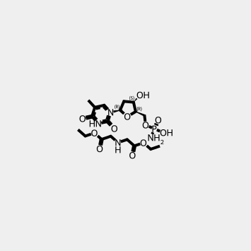 CCOC(=O)CNCC(=O)OCC.Cc1cn([C@H]2C[C@H](O)[C@@H](COP(N)(=O)O)O2)c(=O)[nH]c1=O